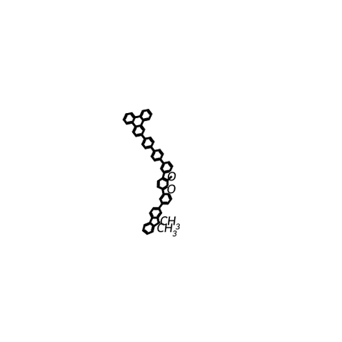 CC1(C)c2ccccc2-c2ccc(-c3ccc4oc5c(ccc6c7cc(-c8ccc(-c9ccc(-c%10ccc%11c%12ccccc%12c%12ccccc%12c%11c%10)cc9)cc8)ccc7oc65)c4c3)cc21